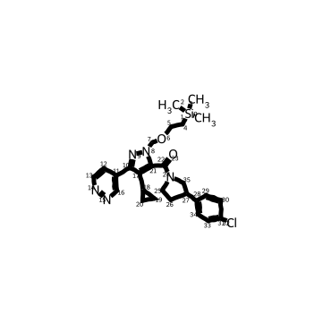 C[Si](C)(C)CCOCn1nc(-c2ccnnc2)c(C2CC2)c1C(=O)N1CCC(c2ccc(Cl)cc2)C1